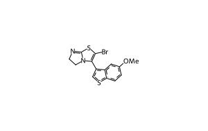 COc1ccc2scc(C3=C(Br)SC4=NCCN43)c2c1